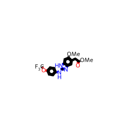 COC(=O)Cc1cc2nc(Nc3ccc(OC(F)(F)F)cc3)[nH]c2cc1OC